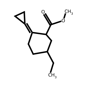 CCC1CCC(=C2CC2)C(C(=O)OC)C1